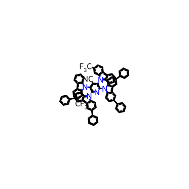 N#Cc1c(-n2c3ccccc3c3ccc(C(F)(F)F)cc32)c(-n2c3ccc(-c4ccccc4)cc3c3cc(-c4ccccc4)ccc32)nc(-n2c3ccc(-c4ccccc4)cc3c3cc(-c4ccccc4)ccc32)c1-n1c2ccccc2c2ccc(C(F)(F)F)cc21